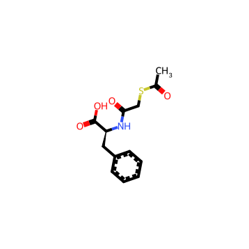 CC(=O)SCC(=O)N[C@@H](Cc1ccccc1)C(=O)O